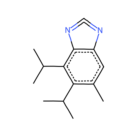 Cc1cc2c(c(C(C)C)c1C(C)C)N=C=N2